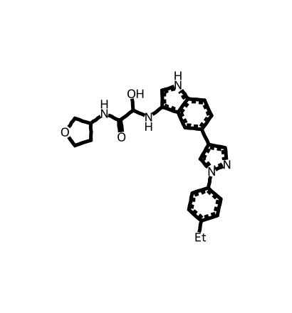 CCc1ccc(-n2cc(-c3ccc4[nH]cc(NC(O)C(=O)NC5CCOC5)c4c3)cn2)cc1